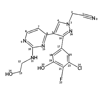 N#CCn1cc(-c2ccnc(NCCO)n2)c(-c2cc(O)c(F)c(Cl)c2)n1